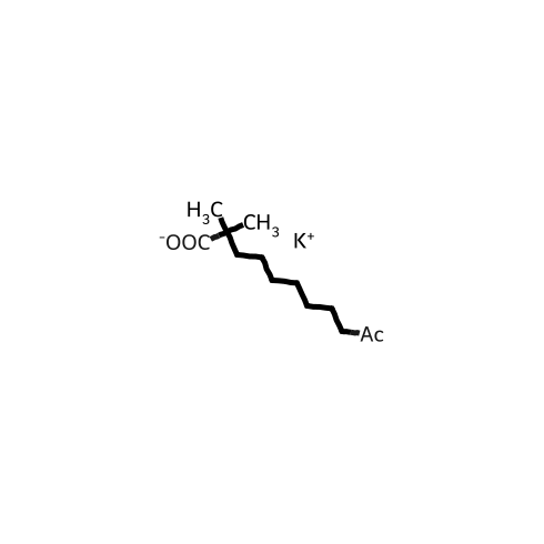 CC(=O)CCCCCCCC(C)(C)C(=O)[O-].[K+]